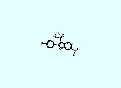 CNC(=O)c1c(-c2ccc(F)cc2)oc2cc([N+](=O)[O-])[c]cc12